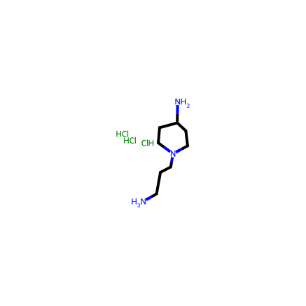 Cl.Cl.Cl.NCCCN1CCC(N)CC1